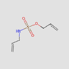 C=CCNS(=O)(=O)OCC=C